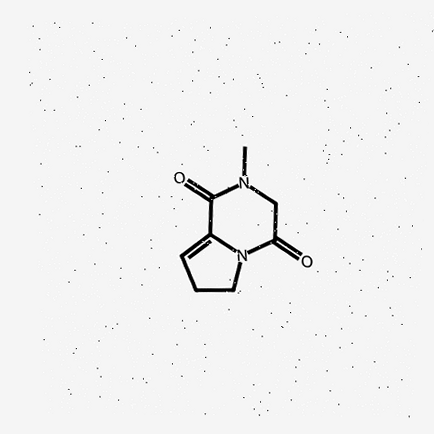 CN1CC(=O)N2CCC=C2C1=O